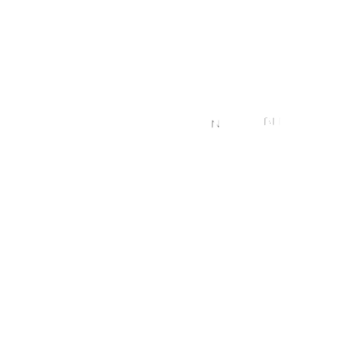 B.c1ccc(-c2ccnc(-c3ccccc3-c3ccccc3)c2)cc1